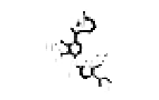 Cc1cccc2c(-c3ccc(Nc4ccc(C5CCOC5)c(CN(C)C)n4)c4c3CNC4=O)cnn12